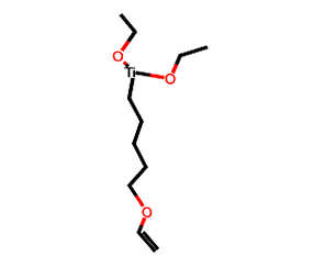 C=COCCCC[CH2][Ti]([O]CC)[O]CC